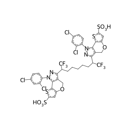 O=S(=O)(O)c1cc2c(s1)-c1c(c(C(CCCCCC(c3nn(-c4ccc(Cl)cc4Cl)c4c3COc3cc(S(=O)(=O)O)sc3-4)C(F)(F)F)C(F)(F)F)nn1-c1ccc(Cl)cc1Cl)CO2